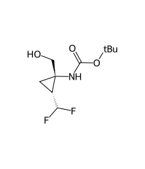 CC(C)(C)OC(=O)N[C@@]1(CO)C[C@H]1C(F)F